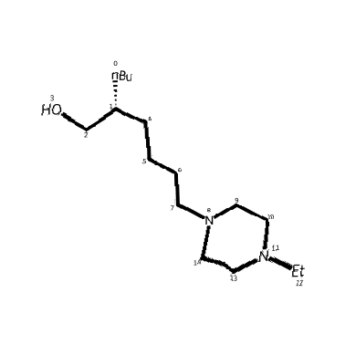 CCCC[C@@H](CO)CCCCN1CCN(CC)CC1